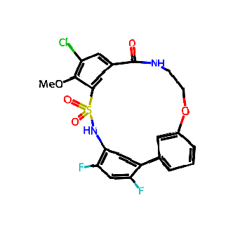 COc1c(Cl)cc2cc1S(=O)(=O)Nc1cc(c(F)cc1F)-c1cccc(c1)OCCNC2=O